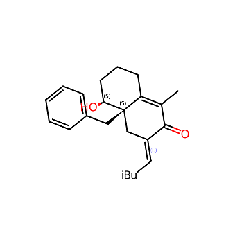 CCC(C)/C=C1\C[C@@]2(Cc3ccccc3)C(=C(C)C1=O)CCC[C@@H]2O